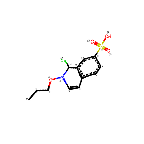 CCCON1C=Cc2ccc(S(=O)(=O)O)cc2C1Cl